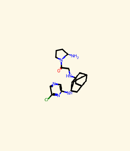 N[C@@H]1CCCN1C(=O)CNC12CC3CC(C1)CC(Nc1cncc(Cl)n1)(C3)C2